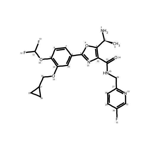 C[C@H](N)c1oc(-c2ccc(OC(F)F)c(OCC3CC3)c2)nc1C(=O)NCc1ccc(F)cn1